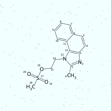 Cc1nc2ccc3ccccc3c2n1CCOS(C)(=O)=O